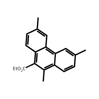 CCOC(=O)c1c(C)c2ccc(C)cc2c2cc(C)ccc12